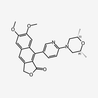 COc1cc2cc3c(c(-c4ccc(N5C[C@@H](C)O[C@@H](C)C5)nc4)c2cc1OC)C(=O)OC3